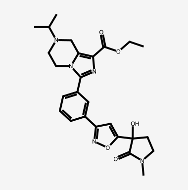 CCOC(=O)c1nc(-c2cccc(-c3cc(C4(O)CCN(C)C4=O)on3)c2)n2c1CN(C(C)C)CC2